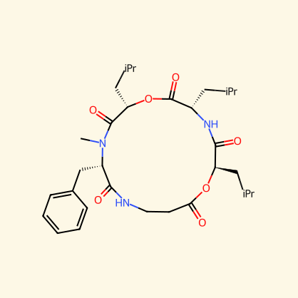 CC(C)C[C@@H]1NC(=O)[C@@H](CC(C)C)OC(=O)CCNC(=O)[C@H](Cc2ccccc2)N(C)C(=O)[C@H](CC(C)C)OC1=O